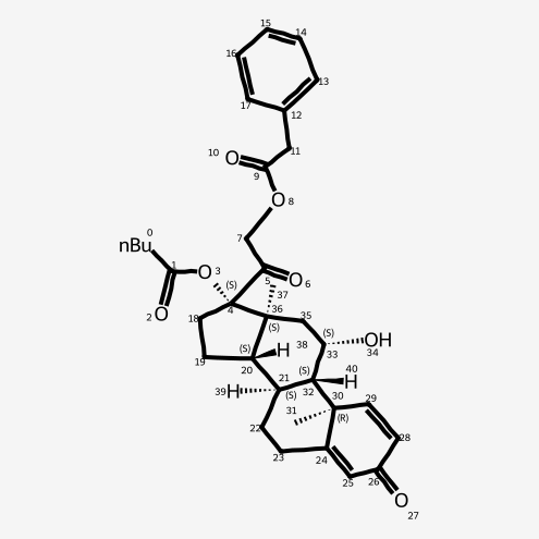 CCCCC(=O)O[C@@]1(C(=O)COC(=O)Cc2ccccc2)CC[C@H]2[C@@H]3CCC4=CC(=O)C=C[C@]4(C)[C@H]3[C@@H](O)C[C@@]21C